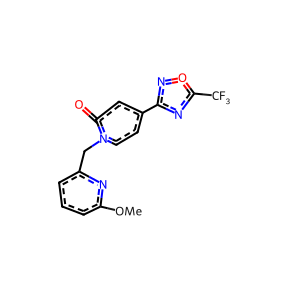 COc1cccc(Cn2ccc(-c3noc(C(F)(F)F)n3)cc2=O)n1